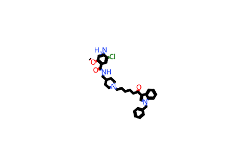 COc1cc(N)c(Cl)cc1C(=O)NCC1CCN(CCCCCC(=O)c2cn(Cc3ccccc3)c3ccccc23)CC1